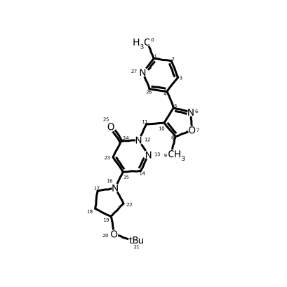 Cc1ccc(-c2noc(C)c2Cn2ncc(N3CCC(OC(C)(C)C)C3)cc2=O)cn1